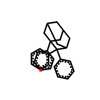 c1ccc(C23CC4CC(CC(C4)C2(c2ccccc2)c2ccccc2)C3)cc1